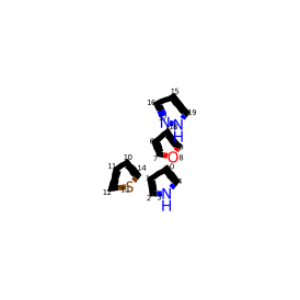 c1cc[nH]c1.c1ccoc1.c1ccsc1.c1cn[nH]c1